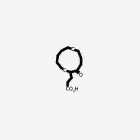 O=C(O)CCC1CCCCCCCCCCC1=O